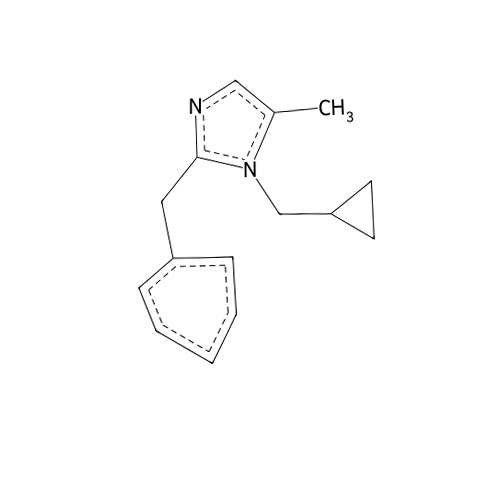 Cc1cnc(Cc2ccccc2)n1CC1CC1